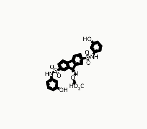 O=C(O)CON=C1c2cc(S(=O)(=O)Nc3cccc(O)c3)ccc2-c2ccc(S(=O)(=O)Nc3cccc(O)c3)cc21